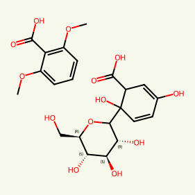 COc1cccc(OC)c1C(=O)O.O=C(O)C1C=C(O)C=CC1(O)C1O[C@H](CO)[C@@H](O)[C@H](O)[C@H]1O